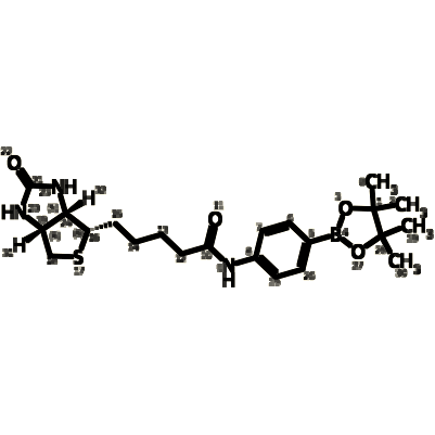 CC1(C)OB(c2ccc(NC(=O)CCCC[C@@H]3SC[C@@H]4NC(=O)N[C@@H]43)cc2)OC1(C)C